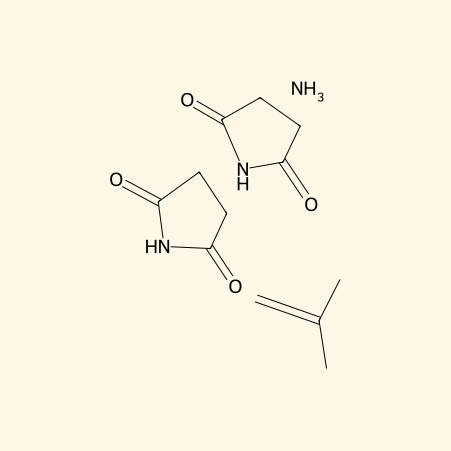 C=C(C)C.N.O=C1CCC(=O)N1.O=C1CCC(=O)N1